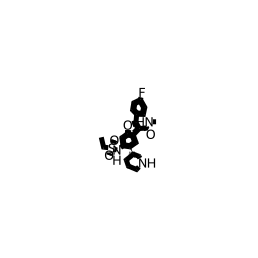 CCS(=O)(=O)Nc1cc2oc(-c3ccc(F)cc3)c(C(=O)NC)c2cc1[C@H]1CCCNC1